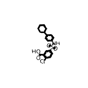 O=C(O)c1cc(S(=O)(=O)Nc2ccc(C3CCCCC3)cc2)ccc1Cl